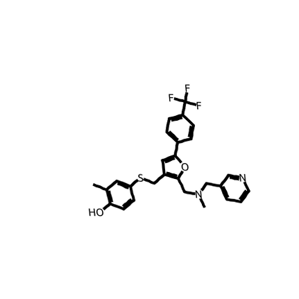 Cc1cc(SCc2cc(-c3ccc(C(F)(F)F)cc3)oc2CN(C)Cc2cccnc2)ccc1O